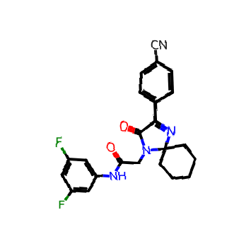 N#Cc1ccc(C2=NC3(CCCCC3)N(CC(=O)Nc3cc(F)cc(F)c3)C2=O)cc1